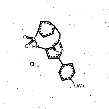 C.COc1ccc(-c2cc3c(=O)n(n2)Cc2ccc(cc2)S(=O)(=O)N3)cc1